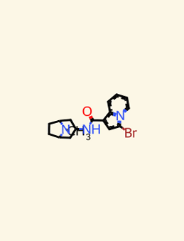 CN1C2CCC1CC(NC(=O)c1cc(Br)n3ccccc13)C2